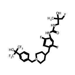 CC(O)(CF)CNC(=O)Nc1cc(F)c(CC2CCN(Cc3ccc(C(O)(C(F)(F)F)C(F)(F)F)cc3)CC2)cc1F